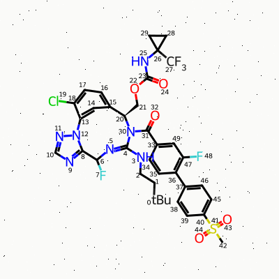 CC(C)(C)CCN/C1=N\C(F)c2ncnn2-c2cc(ccc2Cl)[C@@H](COC(=O)NC2(C(F)(F)F)CC2)N1C(=O)c1ccc(-c2ccc(S(C)(=O)=O)cc2)c(F)c1